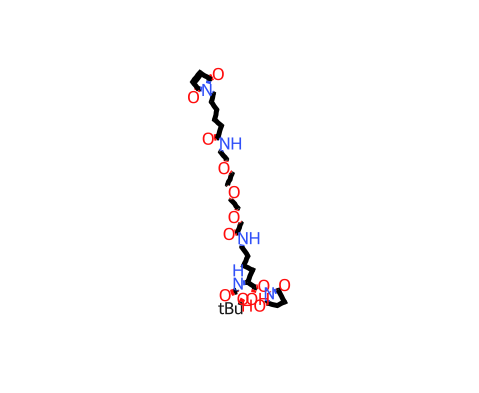 CC(C)(C)OC(=O)NC(CCCCNC(=O)COCCOCCOCCNC(=O)CCCCCN1C(=O)C=CC1=O)C(O)ON1C(=O)CCC1O